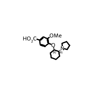 COc1cc(C(=O)O)ccc1O[C@@H]1CCCC[C@H]1N1CCCC1